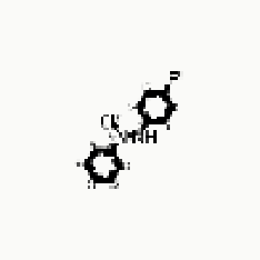 Fc1ccc(NN(Cl)c2ccccc2)cc1